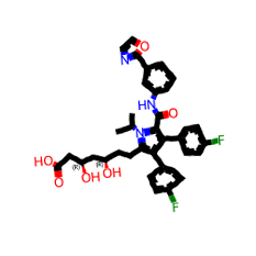 CC(C)n1c(CC[C@@H](O)C[C@@H](O)CC(=O)O)c(-c2ccc(F)cc2)c(-c2ccc(F)cc2)c1C(=O)Nc1cccc(-c2ncco2)c1